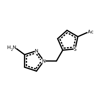 CC(=O)c1ccc(Cn2ccc(N)n2)s1